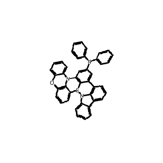 c1ccc(N(c2ccccc2)c2cc3c4c(c2)N2c5ccccc5Oc5cccc(c52)B4n2c4ccccc4c4cccc-3c42)cc1